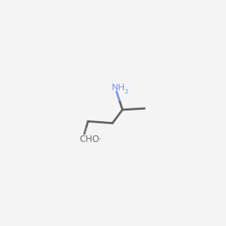 CC(N)CC[C]=O